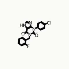 O=c1c2[nH]cnc2n(-c2ccc(Cl)cc2)c(=O)n1Cc1ccccc1F